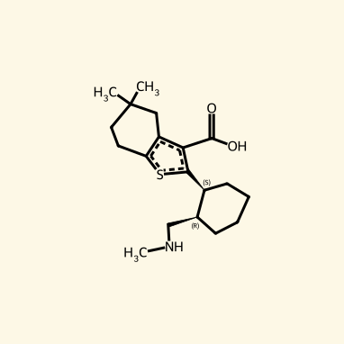 CNC[C@@H]1CCCC[C@@H]1c1sc2c(c1C(=O)O)CC(C)(C)CC2